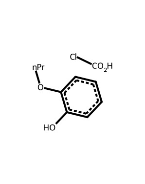 CCCOc1ccccc1O.O=C(O)Cl